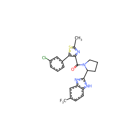 Cc1nc(C(=O)N2CCCC2c2nc3cc(C(F)(F)F)ccc3[nH]2)c(-c2cccc(Cl)c2)s1